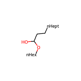 CCCCCCCCCC(O)OCCCCCC